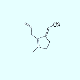 C=CCC1=C(C)[CH]CC1=CC#N